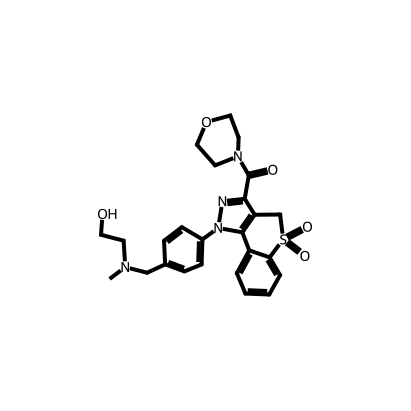 CN(CCO)Cc1ccc(-n2nc(C(=O)N3CCOCC3)c3c2-c2ccccc2S(=O)(=O)C3)cc1